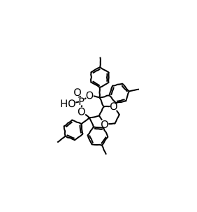 Cc1ccc(C2(c3ccc(C)cc3)OP(=O)(O)OC(c3ccc(C)cc3)(c3ccc(C)cc3)C3OCCOC32)cc1